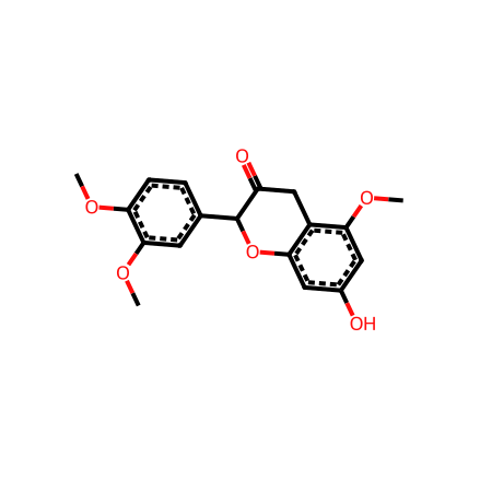 COc1ccc(C2Oc3cc(O)cc(OC)c3CC2=O)cc1OC